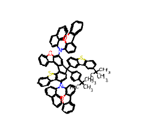 CC(C)(C)c1ccc(C2(c3ccc4sc5ccc(C(C)(C)C)cc5c4c3)c3cc(N(c4cccc5ccccc45)c4cccc5c4oc4ccccc45)c4c(sc5ccccc54)c3-c3c2cc(N(c2cccc4ccccc24)c2cccc4c2oc2ccccc24)c2oc4ccccc4c32)cc1